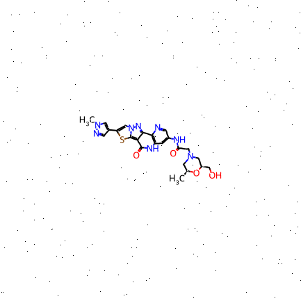 C[C@H]1CN(CC(=O)Nc2cnc3c(c2)[nH]c(=O)c2c3nn3cc(-c4cnn(C)c4)sc23)C[C@@H](CO)O1